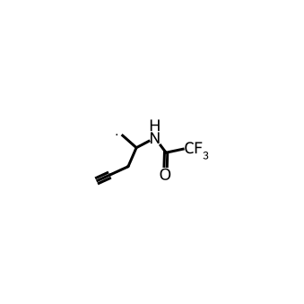 C#CCC([CH2])NC(=O)C(F)(F)F